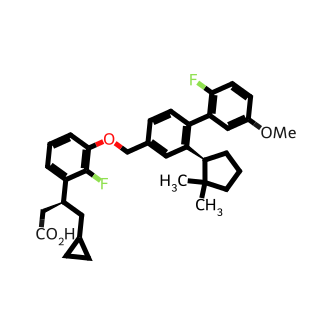 COc1ccc(F)c(-c2ccc(COc3cccc([C@H](CC(=O)O)CC4CC4)c3F)cc2[C@H]2CCCC2(C)C)c1